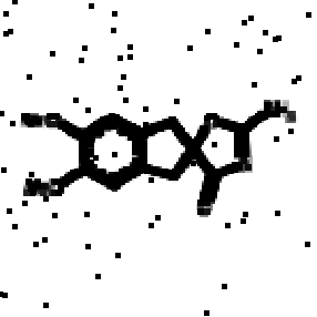 COc1cc2c(cc1OC)CC1(C2)OC(N)=NC1=O